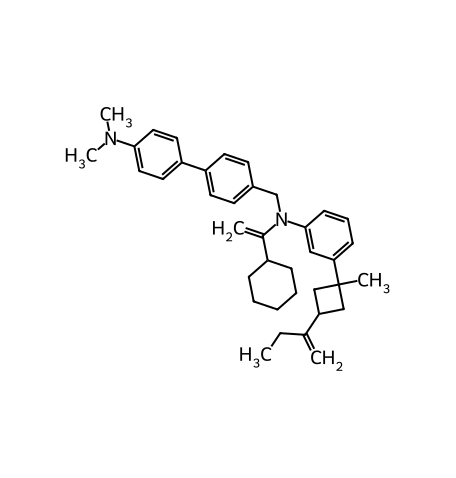 C=C(CC)C1CC(C)(c2cccc(N(Cc3ccc(-c4ccc(N(C)C)cc4)cc3)C(=C)C3CCCCC3)c2)C1